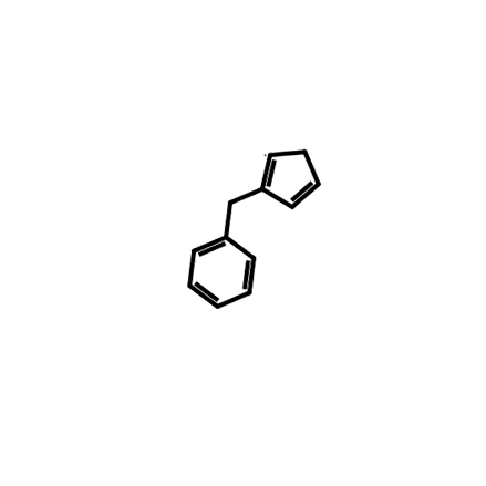 [C]1=C(Cc2ccccc2)C=CC1